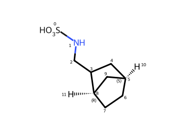 O=S(=O)(O)NCC1C[C@H]2CC[C@@H]1C2